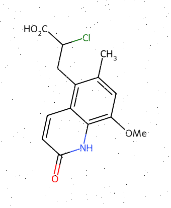 COc1cc(C)c(CC(Cl)C(=O)O)c2ccc(=O)[nH]c12